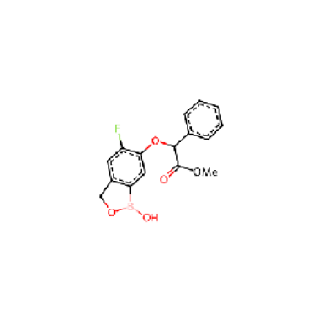 COC(=O)C(Oc1cc2c(cc1F)COB2O)c1ccccc1